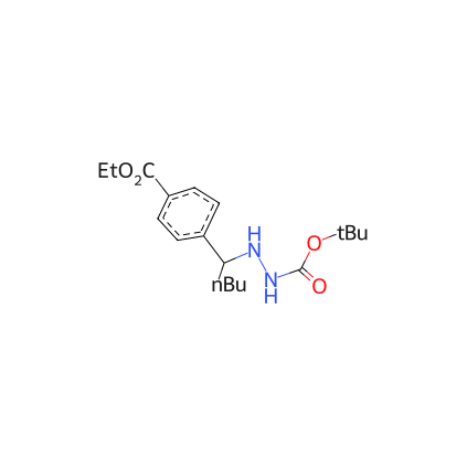 CCCCC(NNC(=O)OC(C)(C)C)c1ccc(C(=O)OCC)cc1